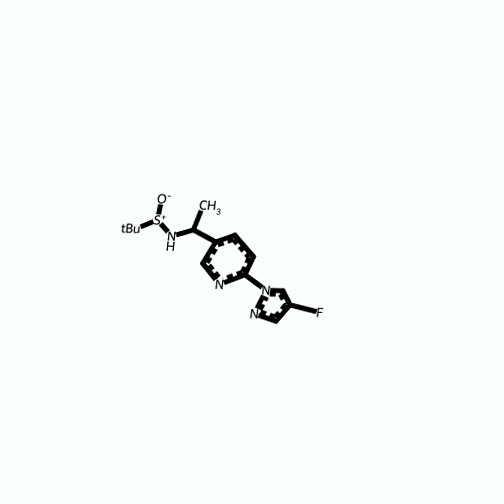 CC(N[S+]([O-])C(C)(C)C)c1ccc(-n2cc(F)cn2)nc1